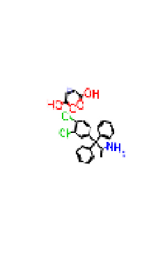 CC(N)C(c1ccccc1)(c1ccccc1)c1ccc(Cl)c(Cl)c1.O=C(O)/C=C\C(=O)O